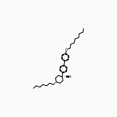 CCCCCCCCOc1ccc(-c2ccc([C@]3(C#N)CC[C@H](CCCCCCC)CC3)cc2)cc1